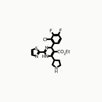 CCOC(=O)C1=C(C2CCNC2)NC(c2nccs2)=NC1c1ccc(F)c(F)c1Cl